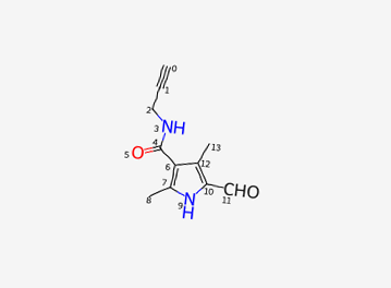 C#CCNC(=O)c1c(C)[nH]c(C=O)c1C